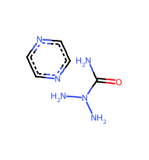 NC(=O)N(N)N.c1cnccn1